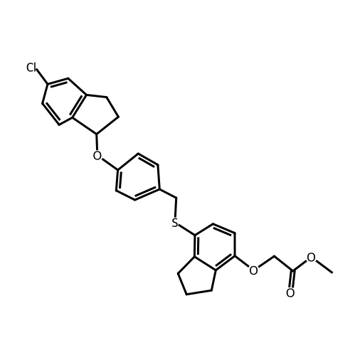 COC(=O)COc1ccc(SCc2ccc(OC3CCc4cc(Cl)ccc43)cc2)c2c1CCC2